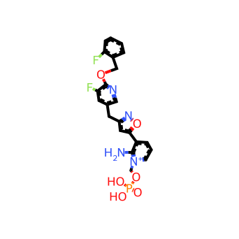 Nc1c(-c2cc(Cc3cnc(OCc4ccccc4F)c(F)c3)no2)ccc[n+]1COP(=O)(O)O